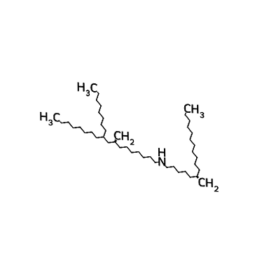 C=C(CCCCCCCCCCC)CCCCCNCCCCCCCC(=C)CC(CCCCCCCC)CCCCCCCC